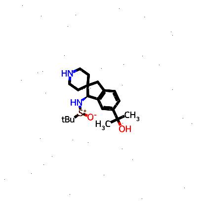 CC(C)(O)c1ccc2c(c1)[C@@H](N[S+]([O-])C(C)(C)C)C1(CCNCC1)C2